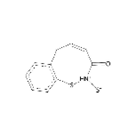 O=C1/C=C\Cc2ccccc2S[NH+]1[S-]